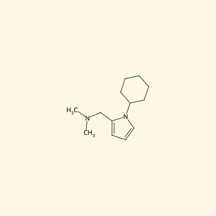 CN(C)Cc1cccn1C1CCCCC1